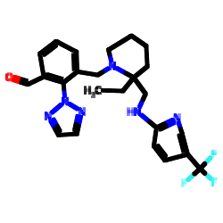 CCC1(CNc2ccc(C(F)(F)F)cn2)CCCCN1Cc1cccc(C=O)c1-n1nccn1